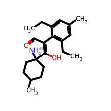 CCc1cc(C)cc(CC)c1/C(C=O)=C(\O)C1(N)CCC(C)CC1